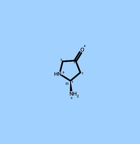 N[C@@H]1CC(=O)CN1